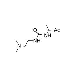 CC(=O)C(C)NC(=O)NCCN(C)C